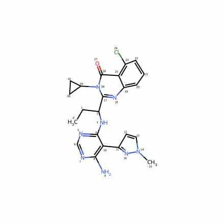 CCC(Nc1ncnc(N)c1-c1ccn(C)n1)c1nc2cccc(Cl)c2c(=O)n1C1CC1